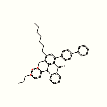 CCCCCCCc1cc(-c2ccc(-c3ccccc3)cc2)c(C(=O)c2ccccc2)c(C(=O)c2ccccc2)c1CCCCCCC